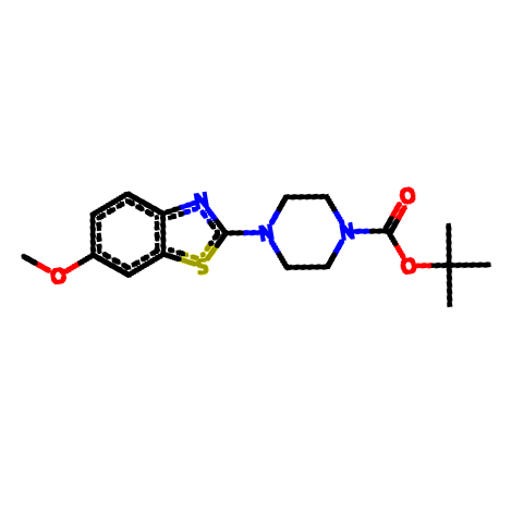 COc1ccc2nc(N3CCN(C(=O)OC(C)(C)C)CC3)sc2c1